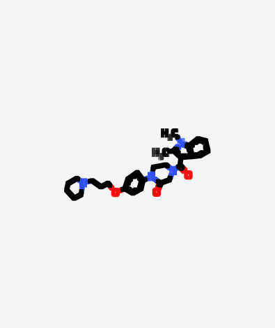 Cc1c(C(=O)N2CCN(c3ccc(OCCCN4CCCCC4)cc3)C(=O)C2)c2ccccc2n1C